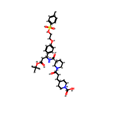 Cc1ccc(S(=O)(=O)OCCOc2ccc([C@H](CC(=O)OC(C)(C)C)NC(=O)[C@@H]3CCCN(C(=O)CCC4CCN(C(=O)O)CC4)C3)cc2)cc1